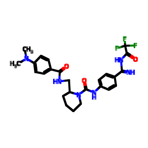 CN(C)c1ccc(C(=O)NCC2CCCCN2C(=O)Nc2ccc(C(=N)NC(=O)C(F)(F)F)cc2)cc1